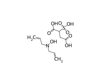 C=CCN(O)CC=C.O=C(O)CC(C(=O)O)S(=O)(=O)O